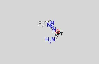 CC(C)[C@]1(CC(=O)N2CCN(c3nccc(C(F)(F)F)n3)CC2)CC[C@@H](N)C1